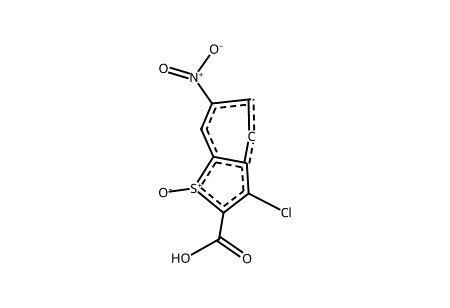 O=C(O)c1c(Cl)c2ccc([N+](=O)[O-])cc2[s+]1[O-]